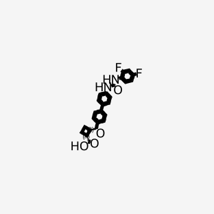 O=C(Nc1ccc(-c2ccc(C(=O)[C@@H]3CC[C@H]3C(=O)O)cc2)cc1)Nc1ccc(F)cc1F